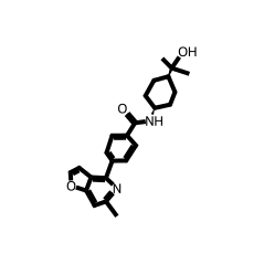 Cc1cc2occc2c(-c2ccc(C(=O)N[C@H]3CC[C@H](C(C)(C)O)CC3)cc2)n1